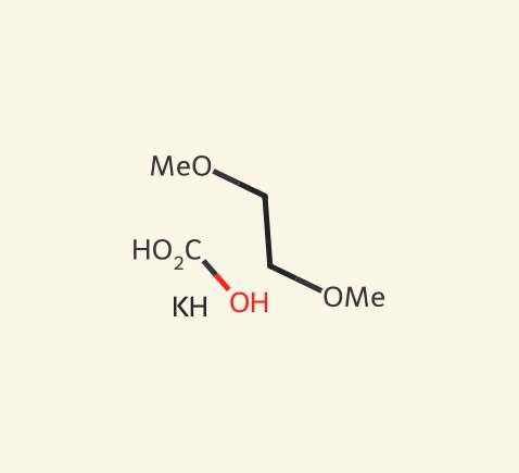 COCCOC.O=C(O)O.[KH]